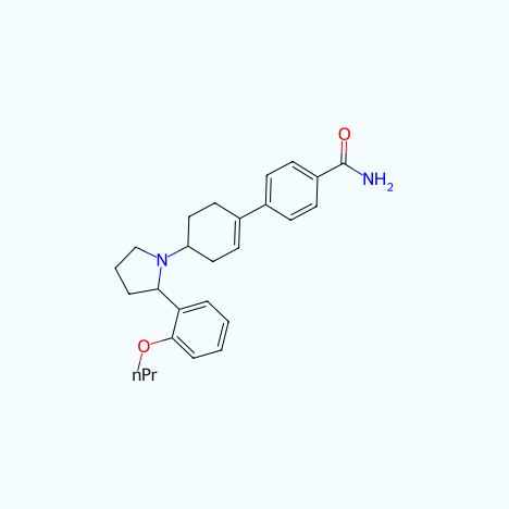 CCCOc1ccccc1C1CCCN1C1CC=C(c2ccc(C(N)=O)cc2)CC1